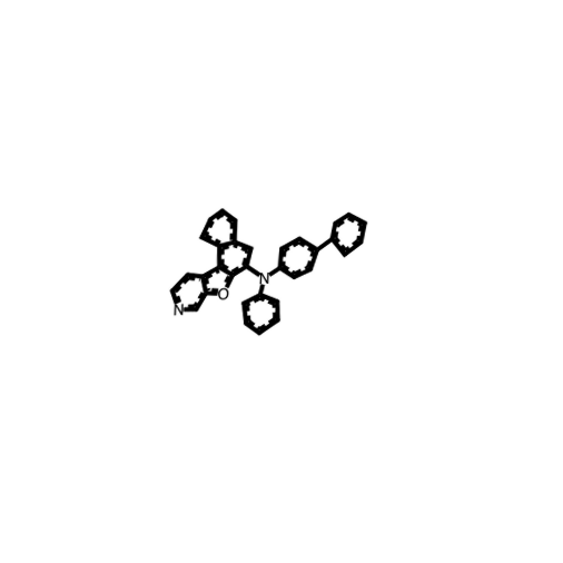 c1ccc(-c2ccc(N(c3ccccc3)c3cc4ccccc4c4c3oc3cnccc34)cc2)cc1